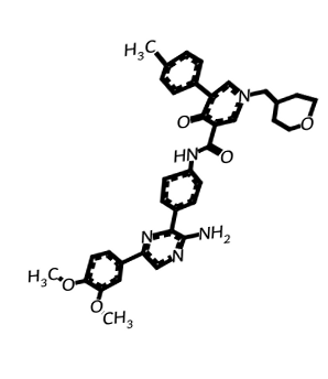 COc1ccc(-c2cnc(N)c(-c3ccc(NC(=O)c4cn(CC5CCOCC5)cc(-c5ccc(C)cc5)c4=O)cc3)n2)cc1OC